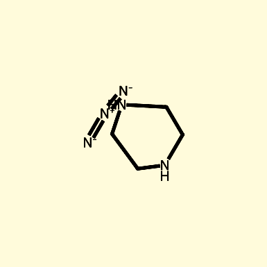 C1CNCCN1.[N-]=[N+]=[N-]